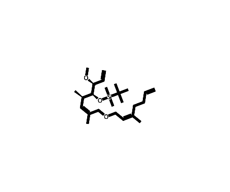 C=CCC/C(C)=C\COC/C(C)=C\[C@@H](C)[C@H](O[Si](C)(C)C(C)(C)C)[C@H](C=C)OC